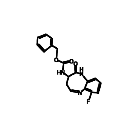 O=C(NC1CC=Nc2c(F)cccc2NC1=O)OCc1ccccc1